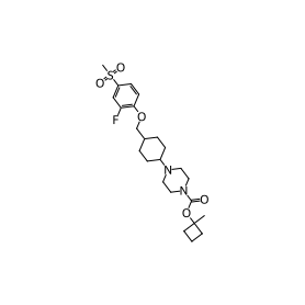 CC1(OC(=O)N2CCN(C3CCC(COc4ccc(S(C)(=O)=O)cc4F)CC3)CC2)CCC1